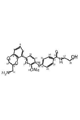 COc1nc(-c2cccc3c2OC(CN)CO3)ccc1Nc1ccc(C(=O)NCCO)cc1